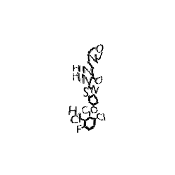 C[C@@H](Oc1ccc2nc(NC(=O)NCCN3CCOCC3)sc2c1)c1c(Cl)ccc(F)c1Cl